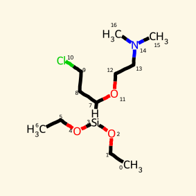 CCO[SiH](OCC)C(CCCl)OCCN(C)C